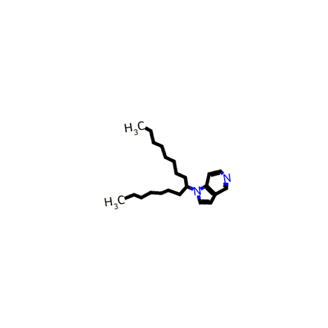 CCCCCCCCC(CCCCCCC)n1ccc2cnccc21